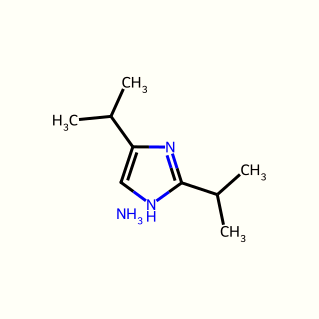 CC(C)c1c[nH]c(C(C)C)n1.N